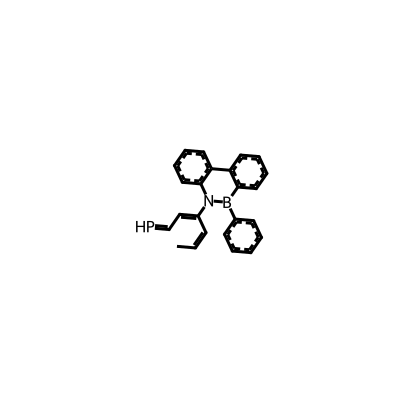 C/C=C\C(=C/C=P)N1B(c2ccccc2)c2ccccc2-c2ccccc21